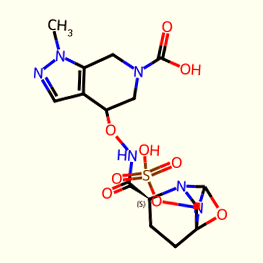 Cn1ncc2c1CN(C(=O)O)CC2ONC(=O)[C@@H]1CCC23CN1C(O2)N3OS(=O)(=O)O